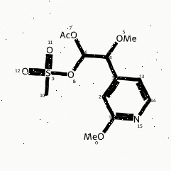 COc1cc(C(OC)C(OC(C)=O)OS(C)(=O)=O)ccn1